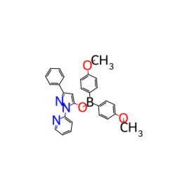 COc1ccc(B(Oc2cc(-c3ccccc3)nn2-c2ccccn2)c2ccc(OC)cc2)cc1